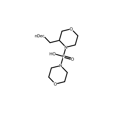 CCCCCCCCCCCC1COCCN1P(=O)(O)N1CCOCC1